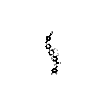 C[C@@H]1CN(c2ncc(C(=O)NCc3ccc(F)c(F)c3)cc2Cl)CCN1C1CCN(Cc2ccc(C#N)cc2)CC1